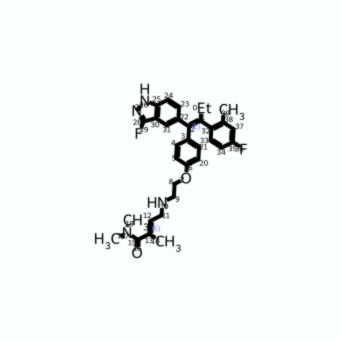 CC/C(=C(/c1ccc(OCCNC/C=C(\C)C(=O)N(C)C)cc1)c1ccc2[nH]nc(F)c2c1)c1ccc(F)cc1C